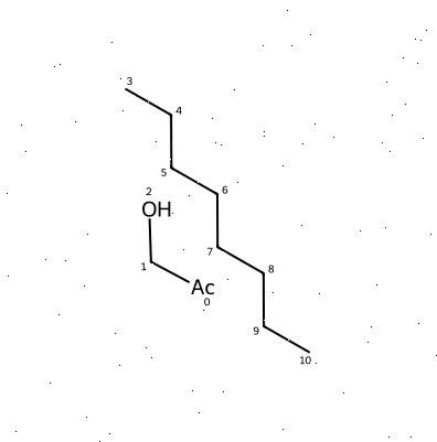 CC(=O)CO.CCCCCCCC